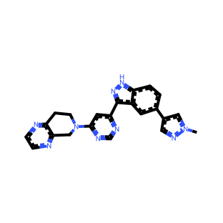 Cn1cc(-c2ccc3[nH]nc(-c4cc(N5CCc6nccnc6C5)ncn4)c3c2)cn1